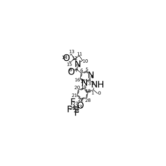 CC(Nc1ncc(C(=O)N2CCC23COC3)cn1)c1cccc(OC(F)(F)F)c1